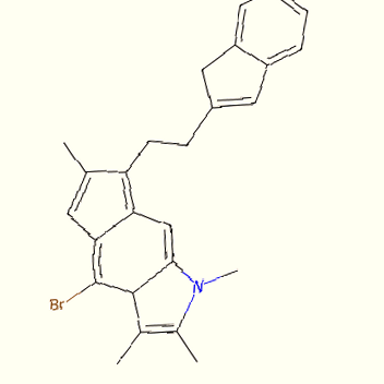 CC1=CC2=C(Br)C3C(=CC2=C1CCC1=Cc2ccccc2C1)N(C)C(C)=C3C